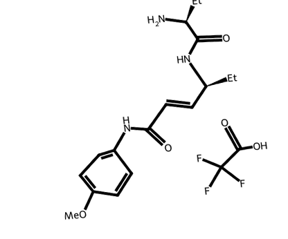 CC[C@@H](/C=C/C(=O)Nc1ccc(OC)cc1)NC(=O)[C@@H](N)CC.O=C(O)C(F)(F)F